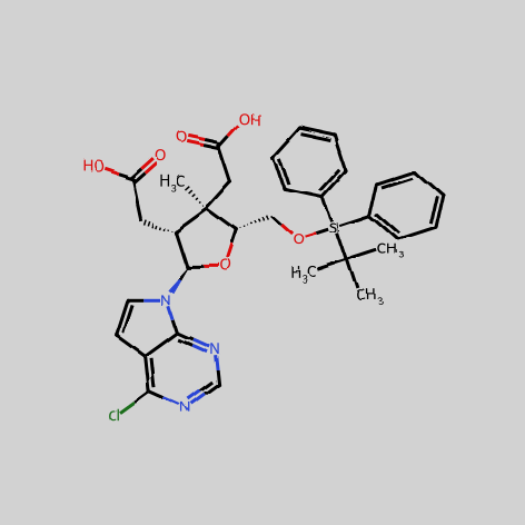 CC(C)(C)[Si](OC[C@@H]1O[C@@H](n2ccc3c(Cl)ncnc32)[C@H](CC(=O)O)[C@@]1(C)CC(=O)O)(c1ccccc1)c1ccccc1